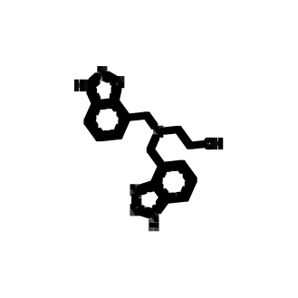 OCCN(Cc1cccc2[nH]nnc12)Cc1cccc2[nH]nnc12